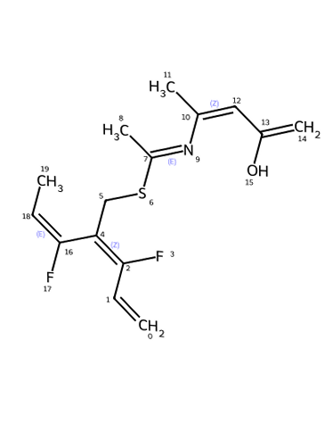 C=C/C(F)=C(CS/C(C)=N/C(C)=C\C(=C)O)\C(F)=C/C